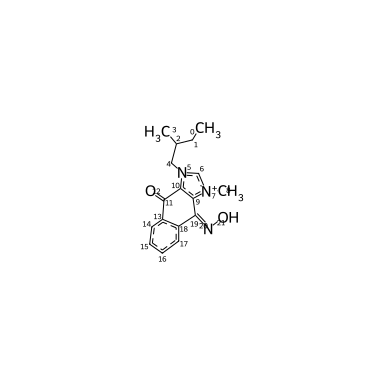 CCC(C)Cn1c[n+](C)c2c1C(=O)c1ccccc1/C2=N/O